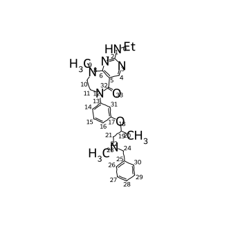 CCNc1ncc2c(n1)N(C)CCN(c1cccc(OC(C)CN(C)Cc3ccccc3)c1)C2=O